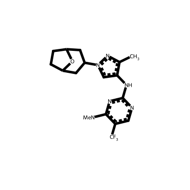 CNc1nc(Nc2cn(C3CC4CCC(C3)O4)nc2C)ncc1C(F)(F)F